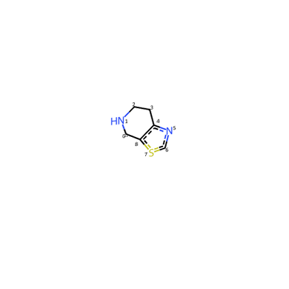 [C]1NCCc2ncsc21